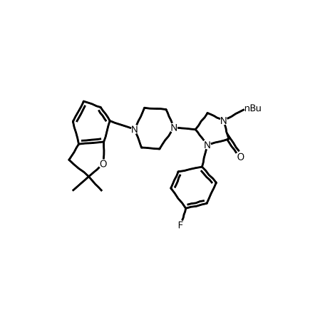 CCCCN1CC(N2CCN(c3cccc4c3OC(C)(C)C4)CC2)N(c2ccc(F)cc2)C1=O